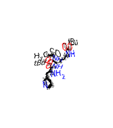 C[C@@H](OC(C)(C)C)[C@H](NC(=O)[C@H](CCCCNC(=O)OC(C)(C)C)NC(=O)[C@@H](N)Cc1cccnc1)C(=O)O